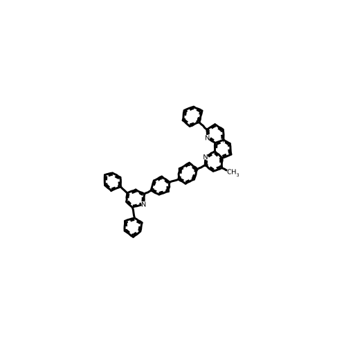 Cc1cc(-c2ccc(-c3ccc(-c4cc(-c5ccccc5)cc(-c5ccccc5)n4)cc3)cc2)nc2c1ccc1ccc(-c3ccccc3)nc12